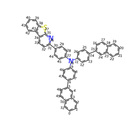 c1ccc2cc(-c3ccc(N(c4ccc(-c5ccc6ccccc6c5)cc4)c4ccc(-c5ccc6c(n5)sc5ccccc56)cc4)cc3)ccc2c1